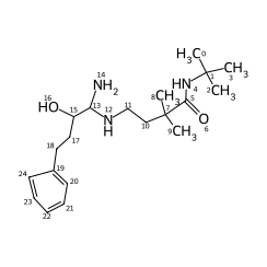 CC(C)(C)NC(=O)C(C)(C)CCNC(N)C(O)CCc1ccccc1